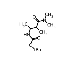 CC(NC(=O)OC(C)(C)C)C(C)C(=O)N(C)C